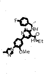 CCNC(=O)c1cc(-c2ccc(-n3cnc(C)c3)c(OC)c2)nnc1N[C@@H](C)c1ccc(F)cc1